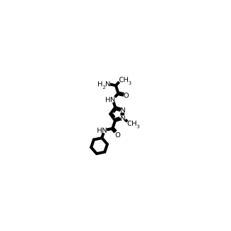 CC(N)C(=O)Nc1cc(C(=O)NC2CCCCC2)n(C)n1